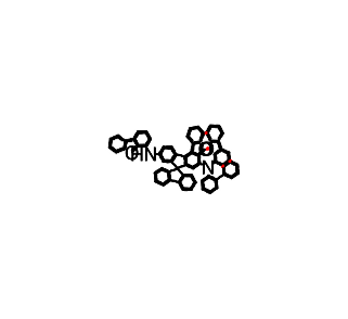 c1ccc(-c2ccccc2N(c2cccc3c2oc2ccccc23)c2cc3c(c4c2oc2ccccc24)-c2ccc(Nc4cccc5c4oc4ccccc45)cc2C32c3ccccc3-c3ccccc32)cc1